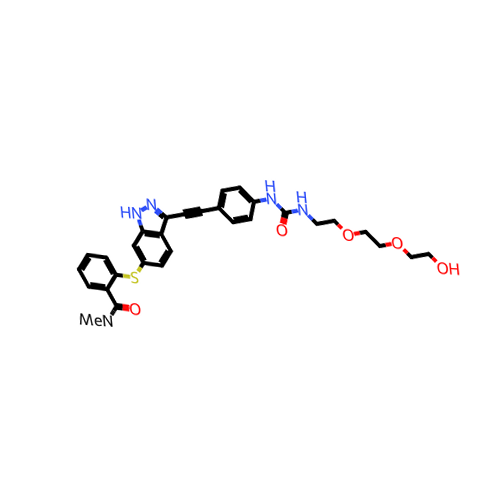 CNC(=O)c1ccccc1Sc1ccc2c(C#Cc3ccc(NC(=O)NCCOCCOCCO)cc3)n[nH]c2c1